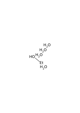 CCO.O.O.O.O